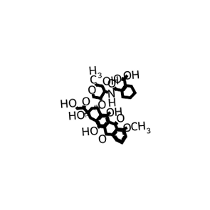 COc1cccc2c1C(=O)c1c(O)c3c(c(O)c1C2=O)C[C@@](O)(C(=O)CO)C[C@@H]3OC1COC(C)C(O)C1NC(=O)C1=C(C(=O)O)CCCC1